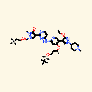 CCOc1nn(C2CCN(C)CC2)cc1-c1cnc(Nc2ccnc(-c3cn(COCC[Si](C)(C)C)n(C)c3=O)n2)cc1O[C@@H](C)CCO[Si](C)(C)C(C)(C)C